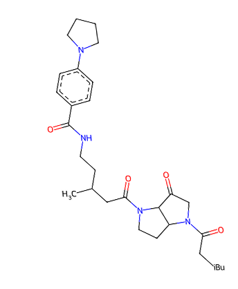 CCC(C)CC(=O)N1CC(=O)C2C1CCN2C(=O)CC(C)CCNC(=O)c1ccc(N2CCCC2)cc1